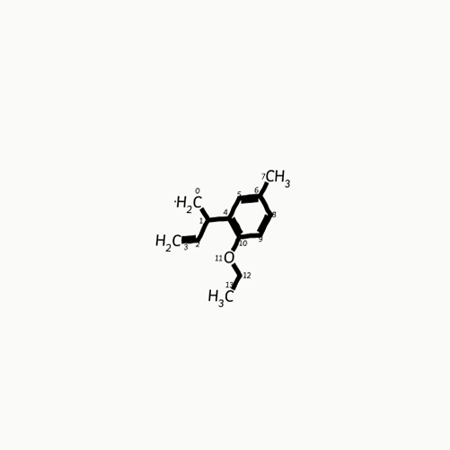 [CH2]C(C=C)c1cc(C)ccc1OCC